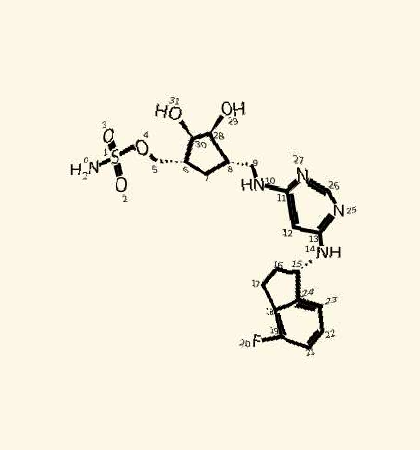 NS(=O)(=O)OC[C@H]1C[C@@H](CNc2cc(N[C@H]3CCc4c(F)cccc43)ncn2)[C@H](O)[C@@H]1O